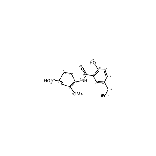 COc1cc(C(=O)O)ccc1NC(=O)c1cc(CC(C)C)ccc1O